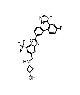 Cn1cnnc1-c1cc(F)ccc1-c1cccc(-c2nc3cc(CN[C@H]4C[C@H](O)C4)cc(C(F)(F)F)c3o2)c1